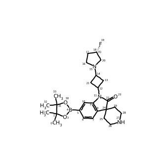 CC1(C)OB(c2ccc3c(c2)N(C2CC(N4CC[C@H](F)C4)C2)C(=O)C32CCNCC2)OC1(C)C